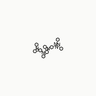 c1ccc(-c2nc(-c3ccccc3)nc(-c3ccc(-n4c5ccccc5c5c4ccc4c6ccccc6n(-c6ccc7c(c6)c6ccccc6n7-c6ccccc6)c45)cc3)n2)cc1